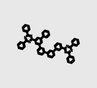 c1ccc(-c2cc(-c3cccc(-c4cccc(-c5cccc(-c6nc(-c7ccccc7)nc(-c7ccccc7)n6)c5)c4)c3)cc(-c3nc(-c4ccccc4)nc(-c4ccccc4)n3)c2)cc1